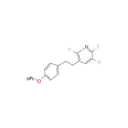 CCCOc1ccc(CCc2cc(F)c(F)nc2F)cc1